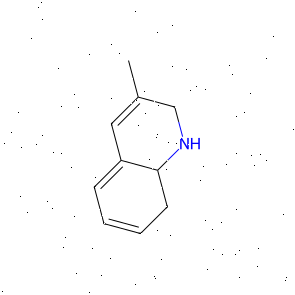 CC1=CC2=CC=CCC2NC1